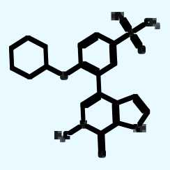 Cn1cc(-c2cc(S(C)(=N)=O)ccc2OC2CCCCC2)c2cc[nH]c2c1=O